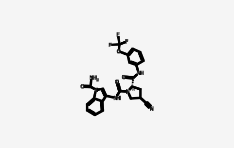 N#CC1C[C@@H](C(=O)Nc2cccc(OC(F)(F)F)c2)N(C(=O)Nc2cn(C(N)=O)c3ccccc23)C1